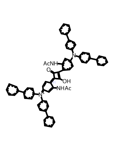 CC(=O)NC1=CC(=[N+](c2ccc(-c3ccccc3)cc2)c2ccc(-c3ccccc3)cc2)C=C/C1=C1\C(=O)C(c2ccc(N(c3ccc(-c4ccccc4)cc3)c3ccc(-c4ccccc4)cc3)cc2NC(C)=O)=C1O